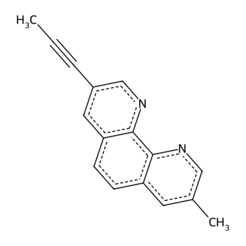 CC#Cc1cnc2c(ccc3cc(C)cnc32)c1